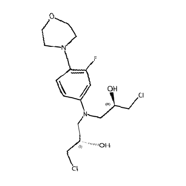 O[C@H](CCl)CN(C[C@@H](O)CCl)c1ccc(N2CCOCC2)c(F)c1